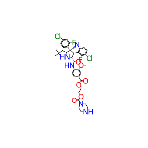 COc1cc(C(=O)OCCOC(=O)N2CCNCC2)ccc1NC(=O)[C@@H]1N[C@@H](CC(C)(C)C)[C@](C#N)(c2ccc(Cl)cc2F)[C@H]1c1cccc(Cl)c1F